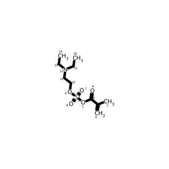 C=C(C)C(=O)OS(=O)(=O)OCCN(CC)CC